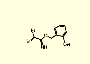 CCC(CC)C(=N)OCc1ccccc1O